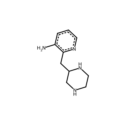 Nc1cccnc1CC1CNCCN1